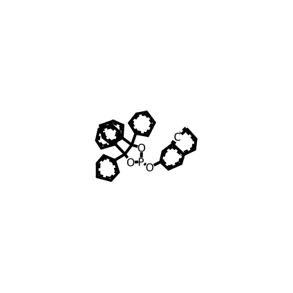 c1ccc(C2(c3ccccc3)OP(Oc3ccc4ccccc4c3)OC2(c2ccccc2)c2ccccc2)cc1